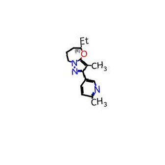 CC[C@@H]1CCCn2nc(-c3ccc(C)nc3)c(C)c2O1